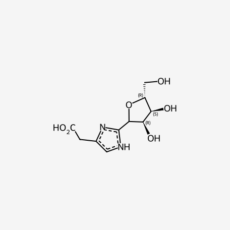 O=C(O)Cc1c[nH]c(C2O[C@H](CO)[C@@H](O)[C@H]2O)n1